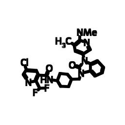 CNc1ncc(-n2c(=O)n(CC3CCC(NC(=O)c4cc(Cl)cnc4C(F)F)CC3)c3ccccc32)cc1C